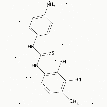 Cc1ccc(NC(=S)Nc2ccc(N)cc2)c(S)c1Cl